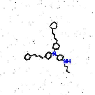 CCCCNc1ccc(N(c2ccc(/C=C/C=C/c3ccccc3)cc2)c2ccc(/C=C/C=C/C3CCCCC3)cc2)cc1